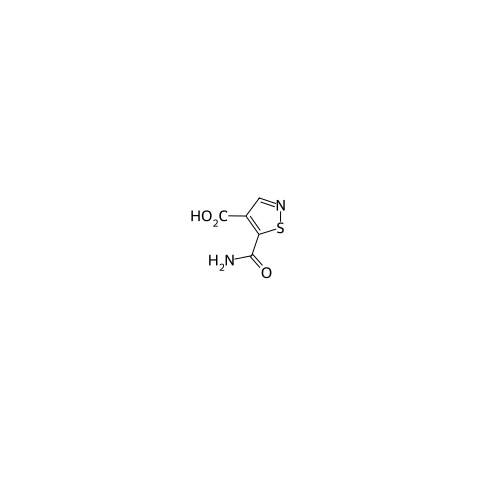 NC(=O)c1sncc1C(=O)O